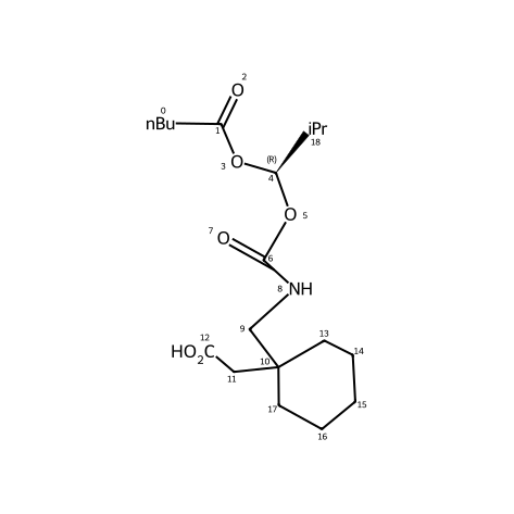 CCCCC(=O)O[C@H](OC(=O)NCC1(CC(=O)O)CCCCC1)C(C)C